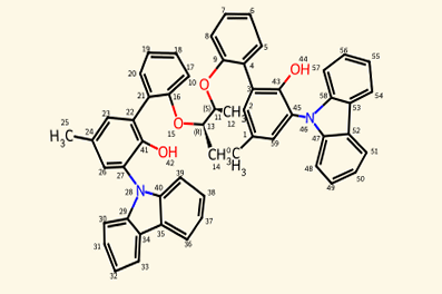 Cc1cc(-c2ccccc2O[C@@H](C)[C@@H](C)Oc2ccccc2-c2cc(C)cc(-n3c4ccccc4c4ccccc43)c2O)c(O)c(-n2c3ccccc3c3ccccc32)c1